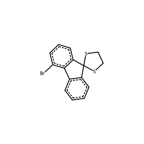 Brc1cccc2c1-c1ccccc1C21SCCS1